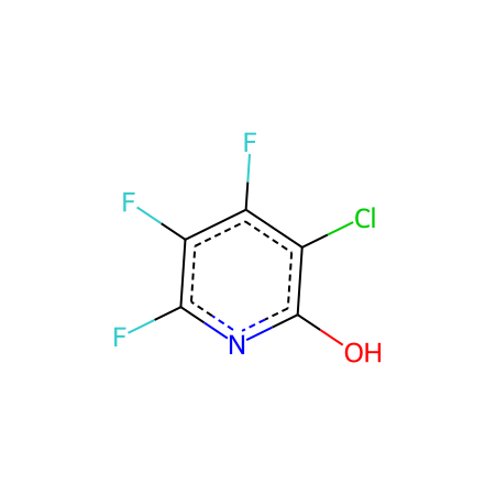 Oc1nc(F)c(F)c(F)c1Cl